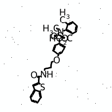 Cc1cccc(C(=O)O)c1N(C)S(=O)(=O)c1ccc(OCCCNC(=O)c2cc3ccccc3s2)cc1